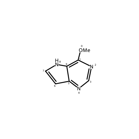 COc1ncnc2cc[nH]c12